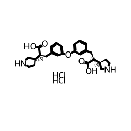 Cl.Cl.O=C(O)[C@@H](Cc1cccc(Oc2cccc(C[C@H](C(=O)O)[C@H]3CCNC3)c2)c1)[C@H]1CCNC1